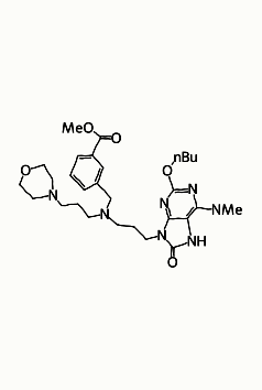 CCCCOc1nc(NC)c2[nH]c(=O)n(CCCN(CCCN3CCOCC3)Cc3cccc(C(=O)OC)c3)c2n1